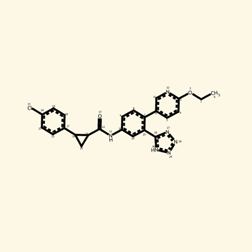 CCOc1ccc(-c2ccc(NC(=O)C3CC3c3ccc(Cl)cc3)cc2-c2nnn[nH]2)cn1